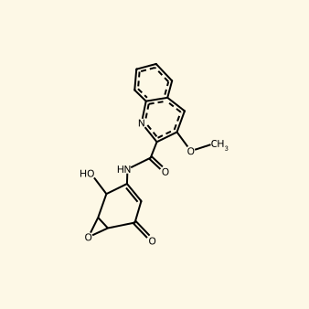 COc1cc2ccccc2nc1C(=O)NC1=CC(=O)C2OC2C1O